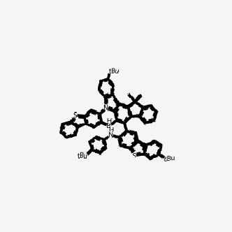 CC(C)(C)c1ccc(Nc2cc3sc4cc(C(C)(C)C)ccc4c3cc2-c2c3c(c4c5cc(C(C)(C)C)ccc5n5c4c2Bc2cc4c(cc2-5)sc2ccccc24)C(C)(C)c2ccccc2-3)cc1